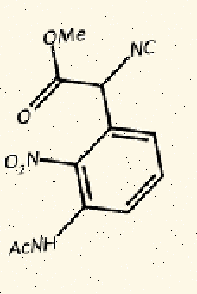 [C-]#[N+]C(C(=O)OC)c1cccc(NC(C)=O)c1[N+](=O)[O-]